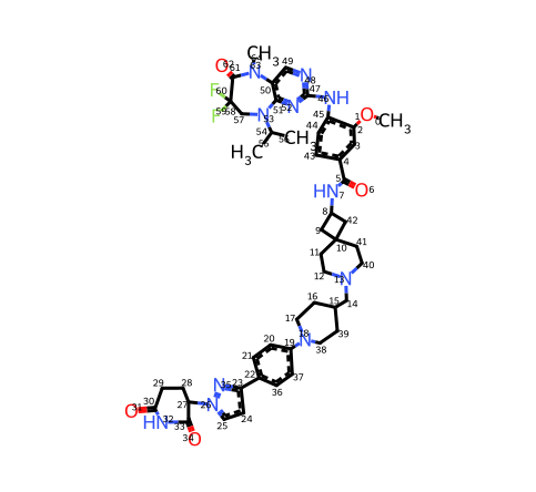 COc1cc(C(=O)NC2CC3(CCN(CC4CCN(c5ccc(-c6ccn(C7CCC(=O)NC7=O)n6)cc5)CC4)CC3)C2)ccc1Nc1ncc2c(n1)N(C(C)C)CC(F)(F)C(=O)N2C